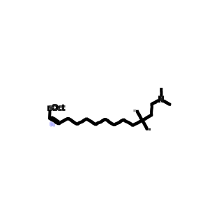 [CH2]C([CH2])(CCCCCCCC/C=C\CCCCCCCC)CCN(C)C